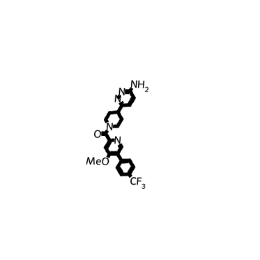 COc1cc(C(=O)N2CCC(c3ccc(N)nn3)CC2)ncc1-c1ccc(C(F)(F)F)cc1